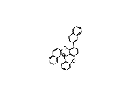 O=P12c3ccccc3Oc3ccc(-c4ccc5ccccc5c4)c(c31)Oc1ccc3ccccc3c12